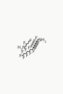 NC(F)C(F)(F)C(F)(F)C(F)(F)C(F)(F)C(F)C(F)C(F)C(F)C(F)C(F)C(F)F.NCC(F)CCF